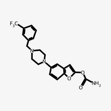 NC(=O)Oc1cc2cc(N3CCN(Cc4cccc(C(F)(F)F)c4)CC3)ccc2o1